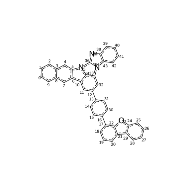 c1ccc2cc3c(cc2c1)c1cc(-c2ccc(-c4cccc5c4oc4ccccc45)cc2)cc2c1n3c1nc3ccccc3n21